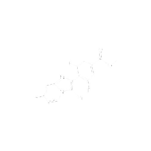 COC(=O)c1cc(F)c(-c2nc3cc(C)ccn3c2Br)c(F)c1